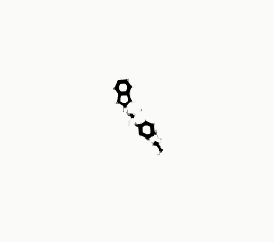 CCOC(=O)Cc1nc2ccc(NC(=O)NC3Cc4ccccc4C3)cc2o1